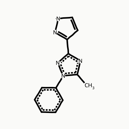 Cc1nc(C2=N[N]C=C2)nn1-c1ccccc1